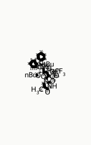 CCCCOC[C@@]1(CO[Si](c2ccccc2)(c2ccccc2)C(C)(C)C)O[C@@H](n2cc(C)c(=O)[nH]c2=O)C(OS(=O)(=O)C(F)(F)F)C1OCCCC